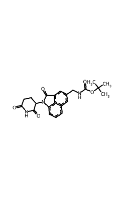 CC(C)(C)OC(=O)NCc1cc2c3c(cccc3c1)N(C1CCC(=O)NC1=O)C2=O